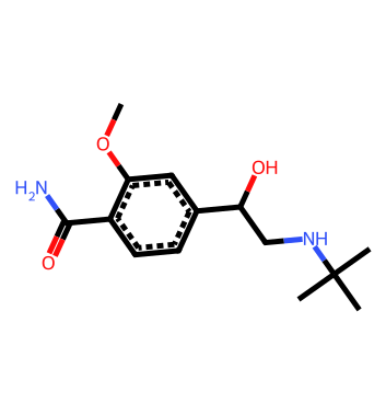 COc1cc(C(O)CNC(C)(C)C)ccc1C(N)=O